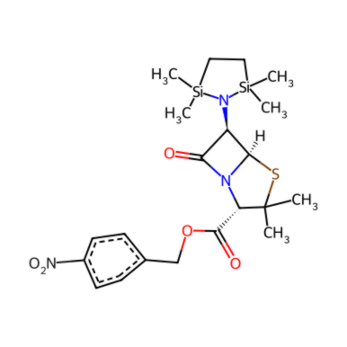 CC1(C)S[C@@H]2[C@H](N3[Si](C)(C)CC[Si]3(C)C)C(=O)N2[C@H]1C(=O)OCc1ccc([N+](=O)[O-])cc1